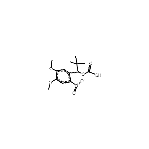 COc1cc(C(OC(=O)O)C(C)(C)C)c([N+](=O)[O-])cc1OC